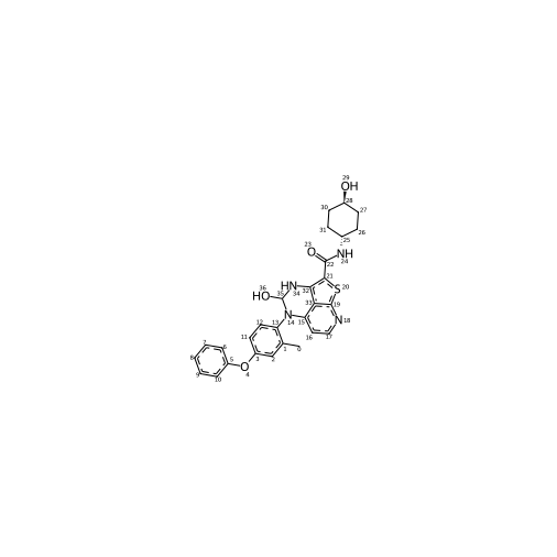 Cc1cc(Oc2ccccc2)ccc1N1c2ccnc3sc(C(=O)N[C@H]4CC[C@H](O)CC4)c(c23)NC1O